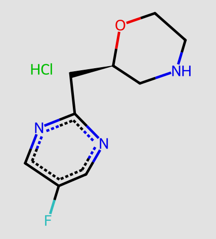 Cl.Fc1cnc(C[C@@H]2CNCCO2)nc1